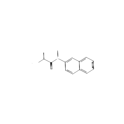 CN(C(=O)C(C(=O)O)C(=O)O)c1ccc2ccccc2c1